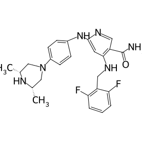 C[C@@H]1CN(c2ccc(Nc3cc(NCc4c(F)cccc4F)c(C(N)=O)cn3)cc2)C[C@H](C)N1